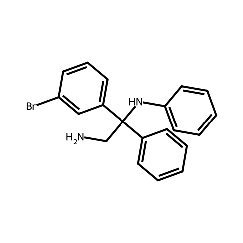 NCC(Nc1ccccc1)(c1ccccc1)c1cccc(Br)c1